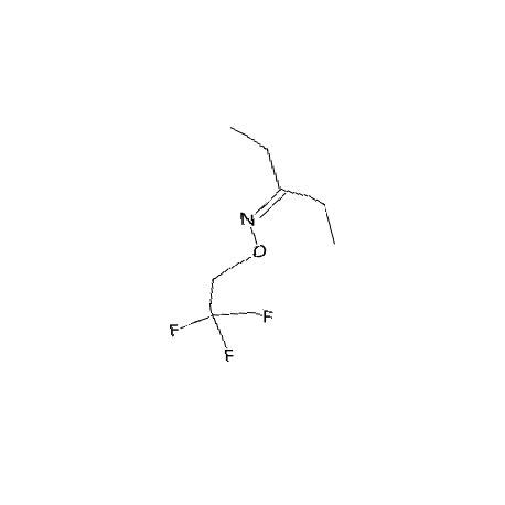 CCC(CC)=NOCC(F)(F)F